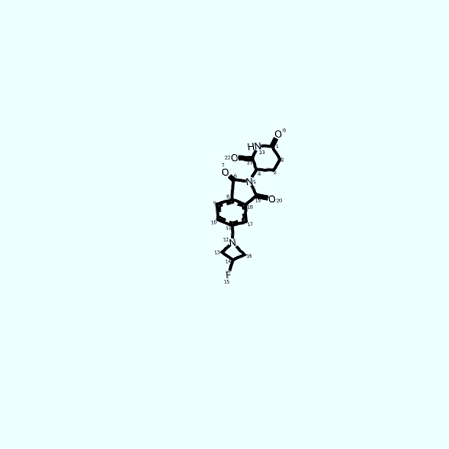 O=C1CCC(N2C(=O)c3ccc(N4CC(F)C4)cc3C2=O)C(=O)N1